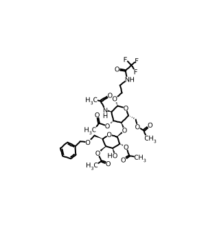 CC(=O)N[C@H]1[C@H](OCCNC(=O)C(F)(F)F)O[C@H](COC(C)=O)[C@@H](O[C@@H]2O[C@H](COCc3ccccc3)[C@H](OC(C)=O)[C@H](O)[C@H]2OC(C)=O)[C@@H]1OC(C)=O